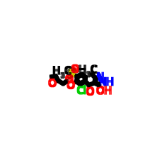 CCc1n[nH]c(O)c1C(=O)c1ccc(S(C)(=O)=O)c(OCCC2CCO2)c1Cl